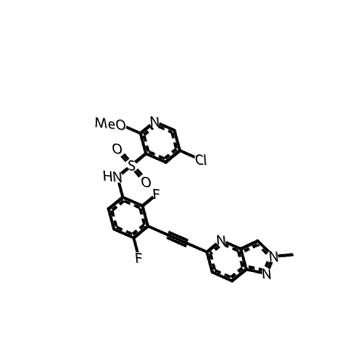 COc1ncc(Cl)cc1S(=O)(=O)Nc1ccc(F)c(C#Cc2ccc3nn(C)cc3n2)c1F